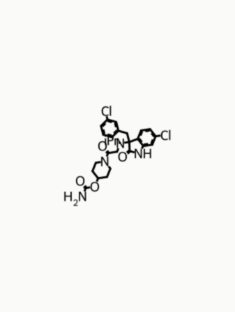 CC(C)N(CC(=O)N1CCC(OC(N)=O)CC1)C1(Cc2cccc(Cl)c2)C(=O)Nc2cc(Cl)ccc21